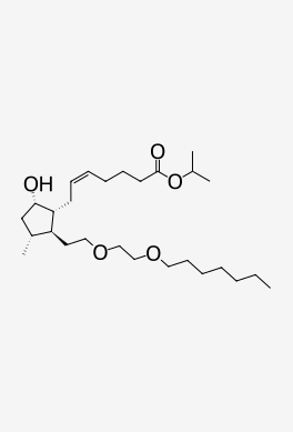 CCCCCCCOCCOCC[C@@H]1[C@@H](C/C=C\CCCC(=O)OC(C)C)[C@@H](O)C[C@H]1C